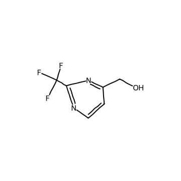 OCc1ccnc(C(F)(F)F)n1